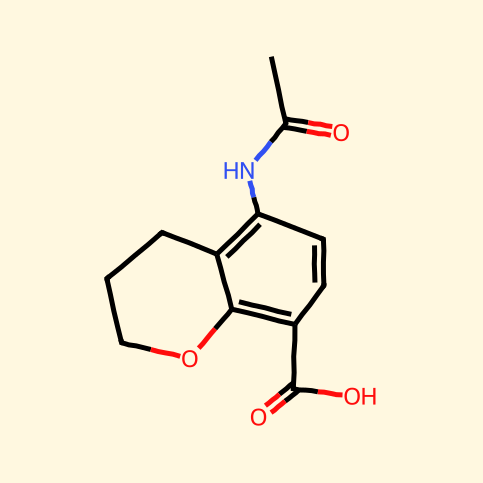 CC(=O)Nc1ccc(C(=O)O)c2c1CCCO2